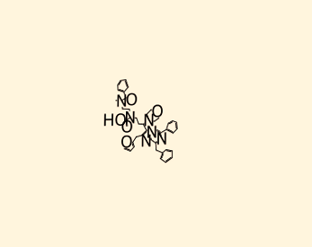 CN(CCN(CCC(c1c(Cc2ccco2)nc2c(Cc3ccccc3)nc(-c3ccccc3)cn12)N1CCOCC1)C(=O)O)C(=O)c1ccccc1